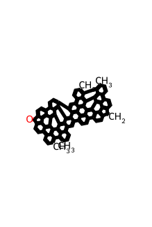 C=C1c2ccc3c4ccc(C)c5c6c(C)ccc7c8cc9c%10ccc%11c%12ccc%13c(=O)c%14ccc%15c%16ccc(C)c%17c%18c(C)ccc%19c%20cc%21c%22ccc%23c%24ccc1c1c2c3c2c(c45)c(c76)c3c8c(c9c%21c4c%10c%11c5c(c%204)c(c%19%18)c(c%16%17)c4c%15c%14c%13c%12c45)c%22c%23c3c2c%241